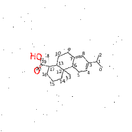 CC(C)C1=CCC2C(=C1)CCC1C2(C)CCC[C@@]1(C)C(=O)O